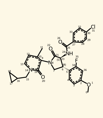 COc1ccc([C@@H]2CN(c3c(C)ccn(CC4CC4)c3=O)C(=O)[C@H]2NC(=O)c2ccc(Cl)cc2)c(F)c1